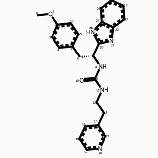 COc1ccc(C[C@@H](NC(=O)NCCc2cccnc2)c2nc3ccccc3[nH]2)cc1